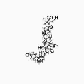 CC(C)C1=C2[C@H]3CC[C@@H]4[C@@]5(C)CC[C@H](OC(=O)[C@H]6C[C@@H](C(=O)O)C6(C)C)C(C)(C)[C@@H]5CC[C@@]4(C)[C@]3(C)CC[C@@]2([C@@H](O)CNCC(CN)NC(=O)c2ccc(Cl)cc2)CC1=O